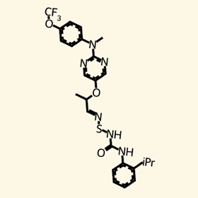 CC(/C=N/SNC(=O)Nc1ccccc1C(C)C)Oc1cnc(N(C)c2ccc(OC(F)(F)F)cc2)nc1